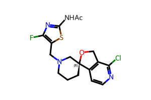 CC(=O)Nc1nc(F)c(CN2CCC[C@@]3(C2)OCc2c3ccnc2Cl)s1